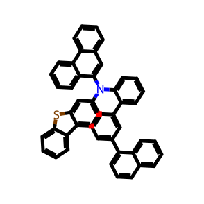 c1cc(-c2ccccc2N(c2ccc3c(c2)sc2ccccc23)c2cc3ccccc3c3ccccc23)cc(-c2cccc3ccccc23)c1